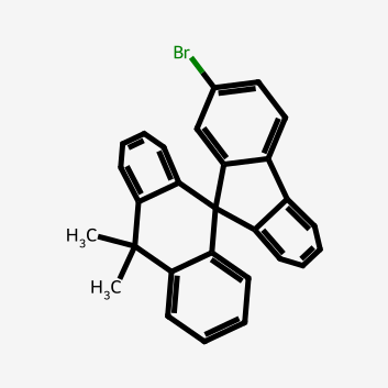 CC1(C)c2ccccc2C2(c3ccccc3-c3ccc(Br)cc32)c2ccccc21